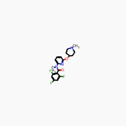 CN1CCC(Oc2cccc(N(C)C(=O)c3c(F)cc(F)cc3F)n2)CC1